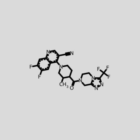 CC1CN(c2c(C#N)cnc3cc(F)c(F)cc23)CCC1C(=O)N1CCn2c(nnc2C(F)(F)F)C1